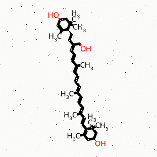 CC1=C[C@H](O)CC(C)(C)[C@H]1CC/C(=C/C=C/C(C)=C/C=C/C=C(C)/C=C/C=C(C)/C=C/C1=C(C)C[C@@H](O)CC1(C)C)CO